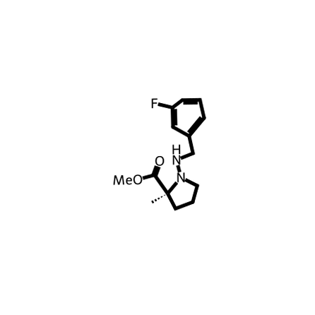 COC(=O)[C@]1(C)CCCN1NCc1cccc(F)c1